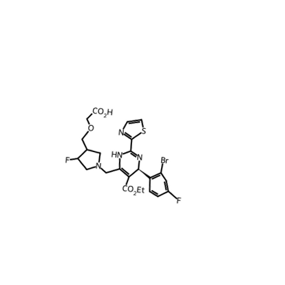 CCOC(=O)C1=C(CN2CC(F)C(COCC(=O)O)C2)NC(c2nccs2)=N[C@H]1c1ccc(F)cc1Br